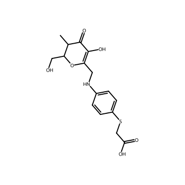 CC1C(=O)C(O)=C(CNc2ccc(SCC(=O)O)cc2)OC1CO